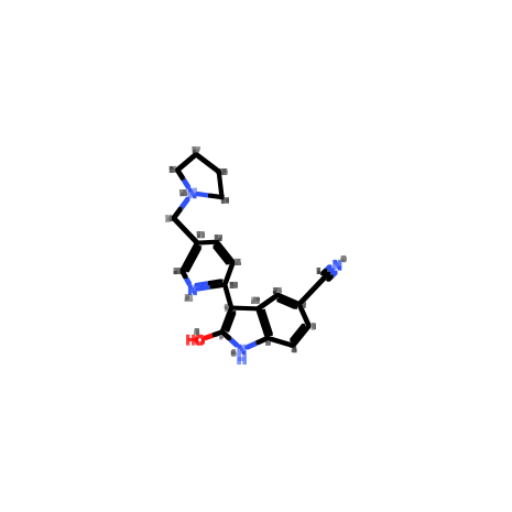 N#Cc1ccc2[nH]c(O)c(-c3ccc(CN4CCCC4)cn3)c2c1